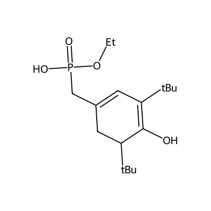 CCOP(=O)(O)CC1=CC(C(C)(C)C)=C(O)C(C(C)(C)C)C1